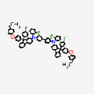 C=Cc1ccc(Oc2ccc(C3(c4ccc(F)cc4)c4ccccc4-c4ccc(N(c5ccc(-c6ccc(N(c7ccc8c(c7)C(c7ccc(F)cc7)(c7ccc(Oc9ccc(C=C)cc9)cc7)c7ccccc7-8)c7ccccc7F)cc6)cc5)c5ccccc5F)cc43)cc2)cc1